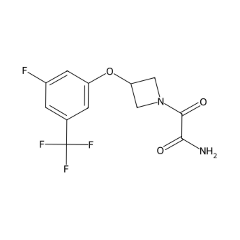 NC(=O)C(=O)N1CC(Oc2cc(F)cc(C(F)(F)F)c2)C1